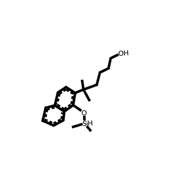 C[SiH](C)Oc1c(C(C)(C)CCCCO)ccc2ccccc12